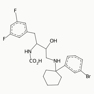 O=C(O)NC(Cc1cc(F)cc(F)c1)C(O)CNC1(c2cccc(Br)c2)CCCCC1